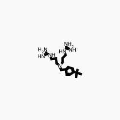 CC(C)(C)c1ccc(CN(CCCNC(=N)N)CCCNC(=N)N)cc1